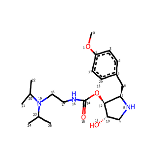 COc1ccc(C[C@H]2NC[C@H](O)[C@H]2OC(=O)NCCN(C(C)C)C(C)C)cc1